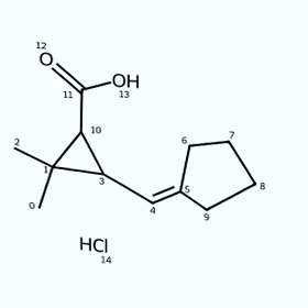 CC1(C)C(C=C2CCCC2)C1C(=O)O.Cl